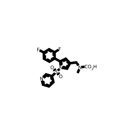 CN(Cc1cc(-c2ccc(F)cc2F)n(S(=O)(=O)c2cccnc2)c1)C(=O)O